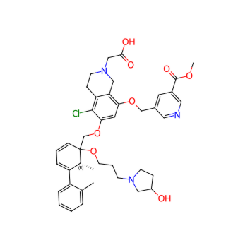 COC(=O)c1cncc(COc2cc(OCC3(OCCCN4CCC(O)C4)C=CC=C(c4ccccc4C)[C@H]3C)c(Cl)c3c2CN(CC(=O)O)CC3)c1